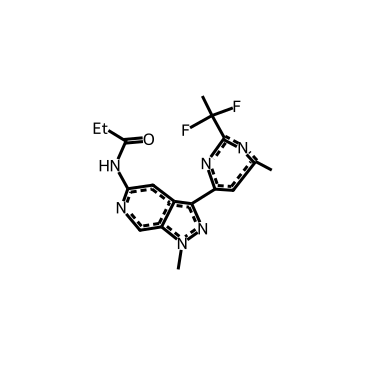 CCC(=O)Nc1cc2c(-c3cc(C)nc(C(C)(F)F)n3)nn(C)c2cn1